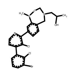 CC(O)CN1CCN(C)c2cc(-c3nccc(-c4cccc(Br)c4Cl)c3Cl)ccc2C1